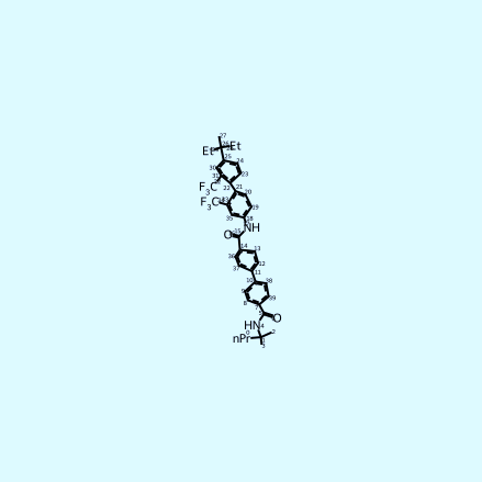 CCCC(C)(C)NC(=O)c1ccc(-c2ccc(C(=O)Nc3ccc(-c4ccc(C(C)(CC)CC)cc4C(F)(F)F)c(C(F)(F)F)c3)cc2)cc1